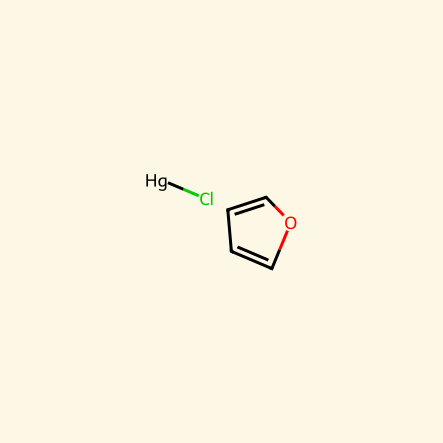 [Cl][Hg].c1ccoc1